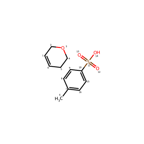 C1=CCOCC1.Cc1ccc(S(=O)(=O)O)cc1